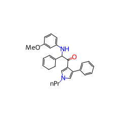 CCCn1cc(C(=O)C(Nc2cccc(OC)c2)C2=CC=CCC2)c(-c2ccccc2)c1